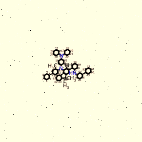 Cc1cc(-c2ccccc2)ccc1N1c2ccc(N(c3ccccc3)c3ccccc3)cc2Bc2c(-c3ccccc3Nc3cccc(-c4ccccc4)c3)cc3c(c21)-c1ccccc1C3(C)C